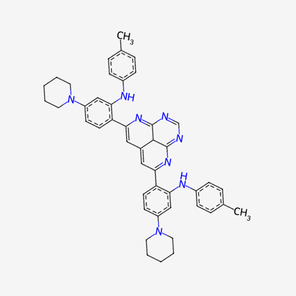 Cc1ccc(Nc2cc(N3CCCCC3)ccc2C2=CC3=CC(c4ccc(N5CCCCC5)cc4Nc4ccc(C)cc4)=NC4=NC=NC(=N2)C34)cc1